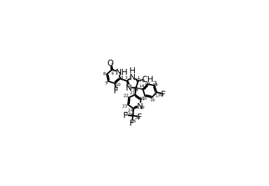 C[C@@H]1NC(c2[nH]c(=O)ccc2F)=N[C@@]1(c1ccc(F)cc1)c1ccc(C(F)(F)F)nc1